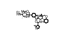 CCNC(=O)[C@@H](C)NC(=O)C(C)(COC)c1ccc2[nH]c([C@@H](NC(=O)c3ccnn3C)[C@@H]3c4ccccc4OCC34CC4)nc2c1